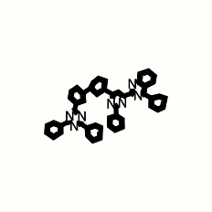 c1ccc(-c2nc(-c3cccc(-c4cccc(-c5nc(-c6ccccc6)nc(-c6ccccc6)n5)c4)c3)cc(-c3nc(-c4ccccc4)c4ccccc4n3)n2)cc1